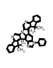 CC1(C)c2ccccc2-c2ncc3c(c21)c1cc2c(ncn2-c2ccccc2)c2c4c5c(ncc4n3c12)-c1ccccc1C5(C)C